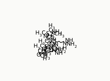 CCC(N)(CC)C(=O)c1sc(C)nc1[C@H](C)NC(=O)c1sc(CCCNC(=N)N)nc1[C@H](C)NC(=O)c1sc(C)nc1[C@H](CCCNC(=N)N)NC(C)(C)C(C)=O